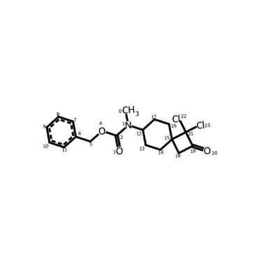 CN(C(=O)OCc1ccccc1)C1CCC2(CC1)CC(=O)C2(Cl)Cl